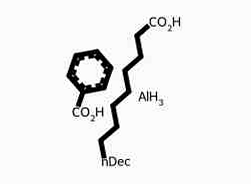 CCCCCCCCCCCCCCCCCC(=O)O.O=C(O)c1ccccc1.[AlH3]